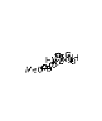 COc1ccc2c(CC(=O)NC(=O)c3cccc4c3C(=O)N(C3CCC(=O)NC3=O)C4)coc2c1